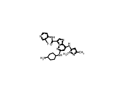 Cc1cc(Nc2cc(NC3CCC(N)CC3)nn3c(C(=O)Nc4ccncc4F)cnc23)n(C)n1